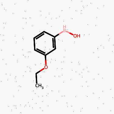 CCOc1cccc(BO)c1